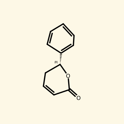 O=C1C=CC[C@H](c2ccccc2)O1